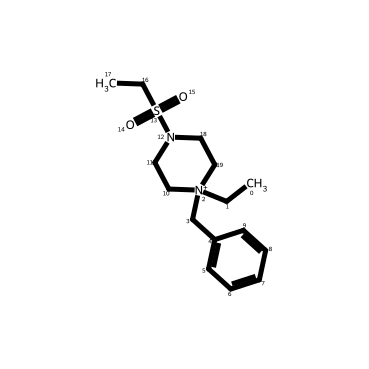 CC[N+]1(Cc2ccccc2)CCN(S(=O)(=O)CC)CC1